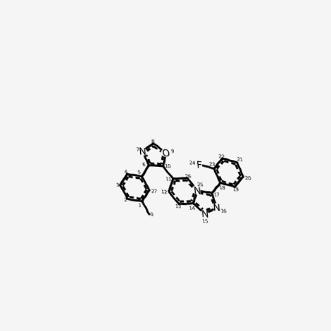 Cc1cccc(-c2ncoc2-c2ccc3nnc(-c4ccccc4F)n3c2)c1